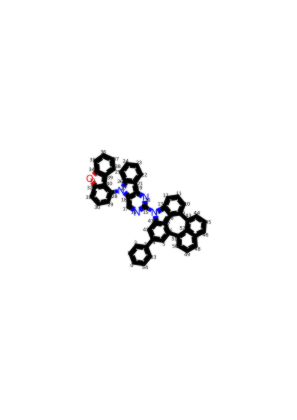 c1ccc(-c2cc3c4c5c(cccc5n(-c5ncc6c(n5)c5ccccc5n6-c5cccc6oc7ccccc7c56)c4c2)-c2cccc4cccc-3c24)cc1